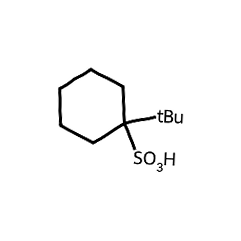 CC(C)(C)C1(S(=O)(=O)O)CCCCC1